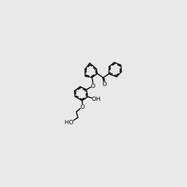 O=C(c1ccccc1)c1ccccc1Oc1cccc(OCCO)c1O